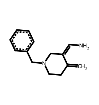 C=C1CCN(Cc2ccccc2)C/C1=C/N